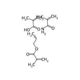 C=C(C)C(=O)O.C=C(C)C(N)=O.C=CCOC(=O)C(=C)C